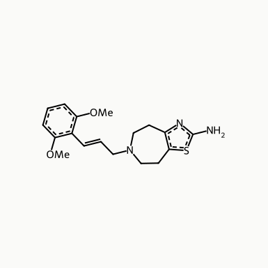 COc1cccc(OC)c1C=CCN1CCc2nc(N)sc2CC1